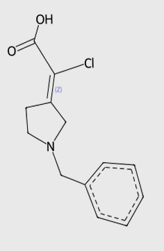 O=C(O)/C(Cl)=C1\CCN(Cc2ccccc2)C1